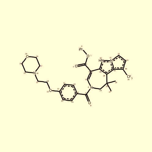 CC(C)OC(=O)C1=CN(C(=O)c2ccc(OCCN3CCOCC3)cc2)CC(C)(C)c2c1[nH]n1ccc(C(F)(F)F)c21